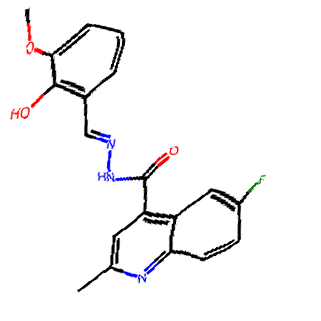 COc1cccc(C=NNC(=O)c2cc(C)nc3ccc(F)cc23)c1O